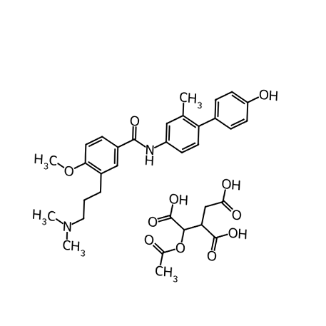 CC(=O)OC(C(=O)O)C(CC(=O)O)C(=O)O.COc1ccc(C(=O)Nc2ccc(-c3ccc(O)cc3)c(C)c2)cc1CCCN(C)C